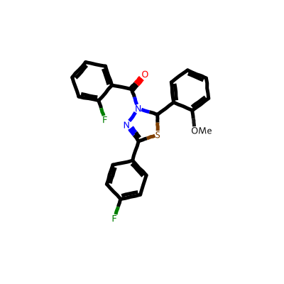 COc1ccccc1C1SC(c2ccc(F)cc2)=NN1C(=O)c1ccccc1F